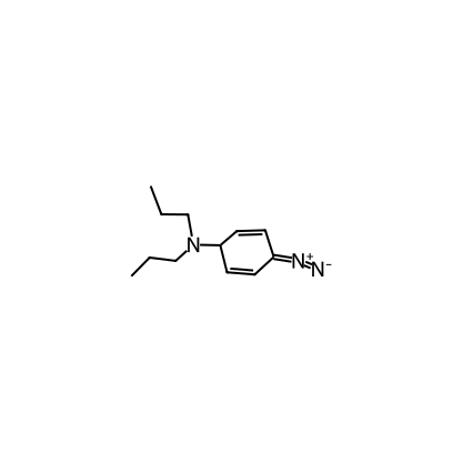 CCCN(CCC)C1C=CC(=[N+]=[N-])C=C1